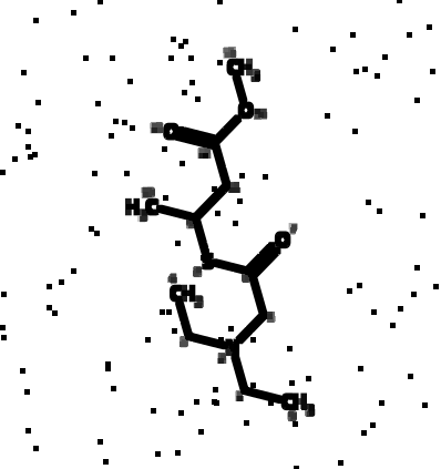 CCN(CC)CC(=O)SC(C)CC(=O)OC